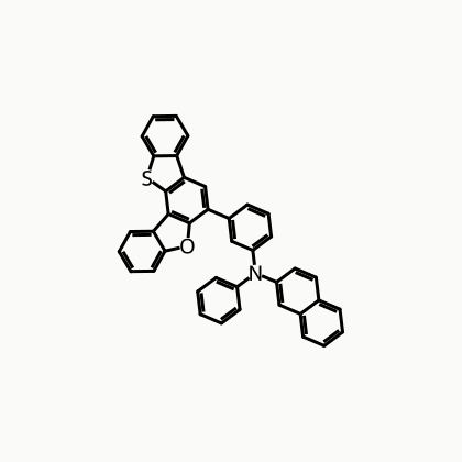 c1ccc(N(c2cccc(-c3cc4c5ccccc5sc4c4c3oc3ccccc34)c2)c2ccc3ccccc3c2)cc1